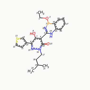 CCOP1N=C(c2c(O)c(-c3ccsc3)nn(CCC(C)C)c2=O)Nc2ccccc21